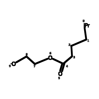 CC(C)CCCC(=O)OCC[O]